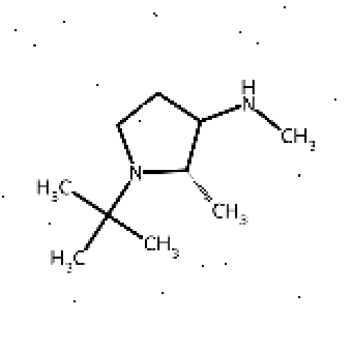 CNC1CCN(C(C)(C)C)[C@H]1C